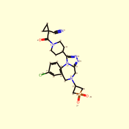 N#CC1(C(=O)N2CCC(c3nnc4n3-c3ccc(Cl)cc3CN(C3CS(=O)(=O)C3)C4)CC2)CC1